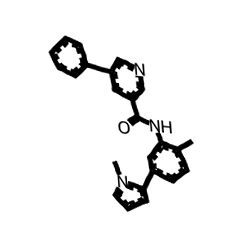 Cc1ccc(-c2cccn2C)cc1NC(=O)c1cncc(-c2ccccc2)c1